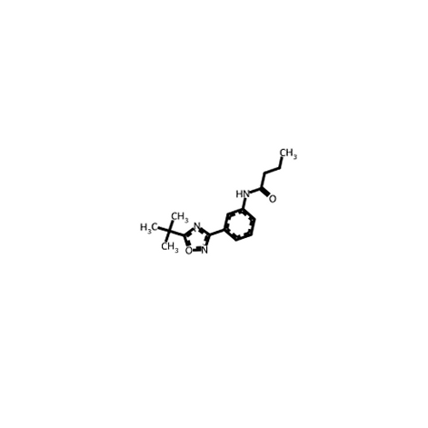 CCCC(=O)Nc1cccc(-c2noc(C(C)(C)C)n2)c1